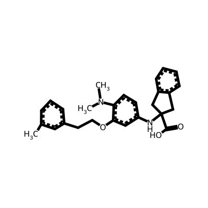 Cc1cccc(CCOc2cc(NC3(C(=O)O)Cc4ccccc4C3)ccc2N(C)C)c1